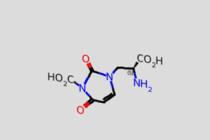 N[C@@H](Cn1ccc(=O)n(C(=O)O)c1=O)C(=O)O